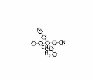 Cc1cc(-c2ccccc2)ccc1-c1cc(-c2ccc(-c3ccccc3)cc2C)c(-c2ccc(-c3ccncc3)cc2)cc1-c1ccc(-c2ccncc2)cc1